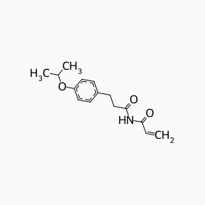 C=CC(=O)NC(=O)CCc1ccc(OC(C)C)cc1